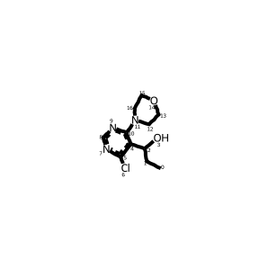 CCC(O)c1c(Cl)ncnc1N1CCOCC1